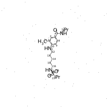 Cc1cc(C(=O)NC(C)C)ccc1NCCCCCNS(=O)(=O)C(C)C